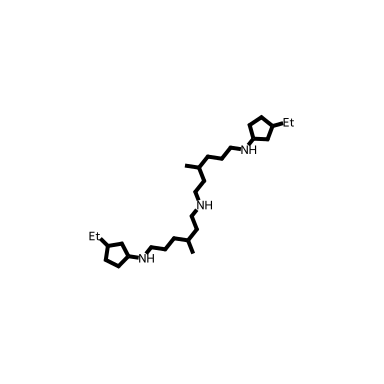 CCC1CCC(NCCCC(C)CCNCCC(C)CCCNC2CCC(CC)C2)C1